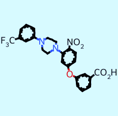 O=C(O)c1cccc(Oc2ccc([N+](=O)[O-])c(N3CCN(c4cccc(C(F)(F)F)c4)CC3)c2)c1